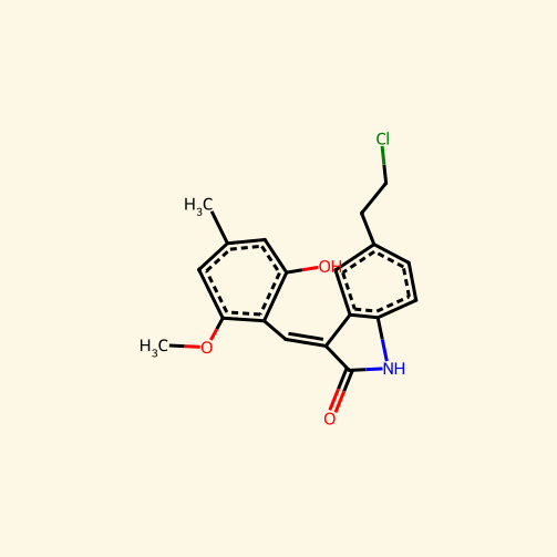 COc1cc(C)cc(O)c1C=C1C(=O)Nc2ccc(CCCl)cc21